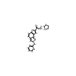 O=C(NC[C@@H]1CCCO1)c1cc2c(ccc3cn(Cc4ccccn4)nc32)o1